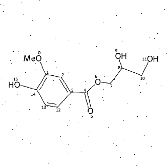 COc1cc(C(=O)OCC(O)CO)ccc1O